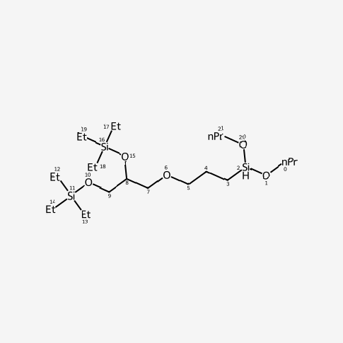 CCCO[SiH](CCCOCC(CO[Si](CC)(CC)CC)O[Si](CC)(CC)CC)OCCC